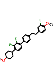 CCOC1CCC(c2ccc(-c3ccc(CCc4ccc(OC(F)(F)F)c(F)c4)cc3)c(F)c2F)CC1